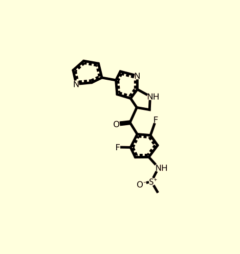 C[S+]([O-])Nc1cc(F)c(C(=O)C2CNc3ncc(-c4cccnc4)cc32)c(F)c1